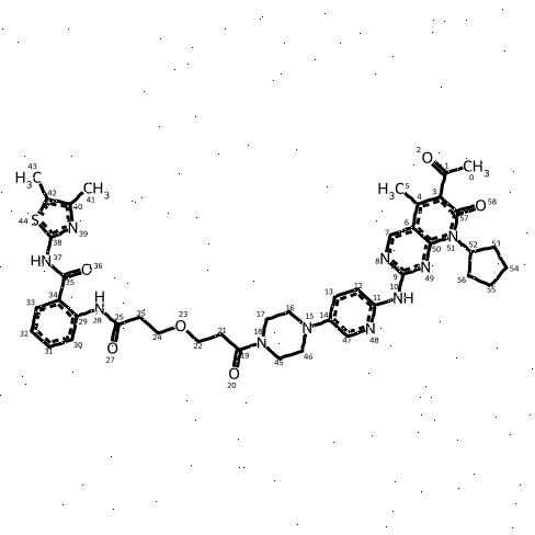 CC(=O)c1c(C)c2cnc(Nc3ccc(N4CCN(C(=O)CCOCCC(=O)Nc5ccccc5C(=O)Nc5nc(C)c(C)s5)CC4)cn3)nc2n(C2CCCC2)c1=O